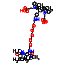 Cc1nn(-c2ccc(C(=O)N(C)C)c(NCCCOCCOCCOCCOCCOCCCNCc3ccc(C(=C\C=C4\N(CCCCS(=O)(=O)O)c5ccccc5C4(C)C)/C=C/C4=[N+](CCCCS(=O)(=O)[O-])c5ccccc5C4(C)C)cc3)c2)c2c1C(=O)CC(C)(C)C2